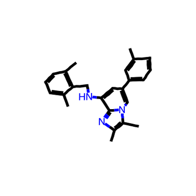 Cc1cccc(-c2cc(NCc3c(C)cccc3C)c3nc(C)c(C)n3c2)c1